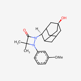 COc1cccc(N2N([C@H]3C4CC5CC3C[C@@](O)(C5)C4)C(=O)C2(C)C)c1